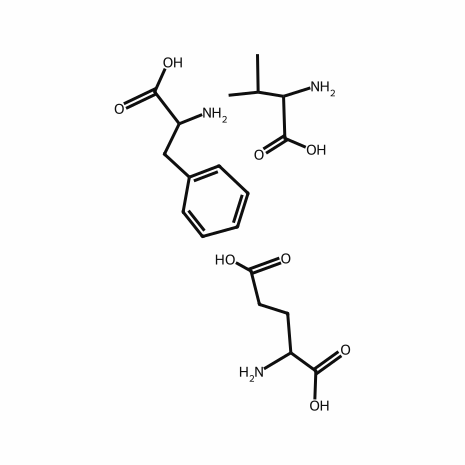 CC(C)C(N)C(=O)O.NC(CCC(=O)O)C(=O)O.NC(Cc1ccccc1)C(=O)O